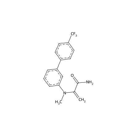 C=C(C(N)=O)N(C)c1cccc(-c2ccc(C(F)(F)F)cc2)c1